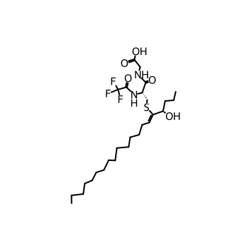 CCCCCCCCCCCCCCC=C(SC[C@H](NC(=O)C(F)(F)F)C(=O)NCC(=O)O)[C@H](O)CCC